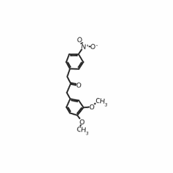 COc1ccc(CC(=O)Cc2ccc([N+](=O)[O-])cc2)cc1OC